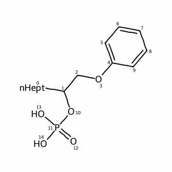 CCCCCCCC(COc1ccccc1)OP(=O)(O)O